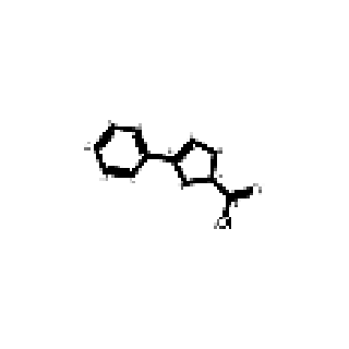 O=C(O)C1CC=C(c2ccccc2)C1